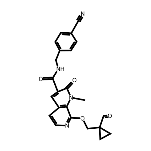 Cn1c(=O)c(C(=O)NCc2ccc(C#N)cc2)cc2ccnc(OCC3(C=O)CC3)c21